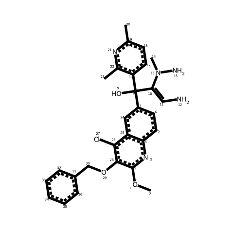 COc1nc2ccc(C(O)(/C(=C/N)N(C)N)c3ccc(C)nc3C)cc2c(Cl)c1OCc1ccccc1